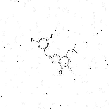 CC(C)Cc1nn(C)c(=O)c2cn(Cc3cc(F)cc(F)c3)cc12